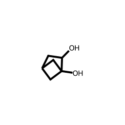 OC1CC2CC1(O)C2